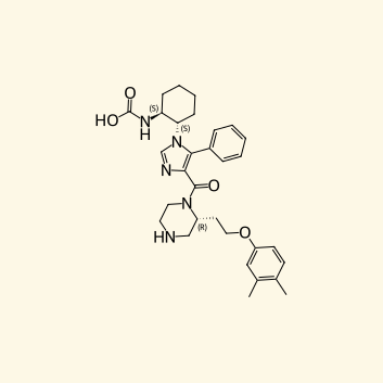 Cc1ccc(OCC[C@@H]2CNCCN2C(=O)c2ncn([C@H]3CCCC[C@@H]3NC(=O)O)c2-c2ccccc2)cc1C